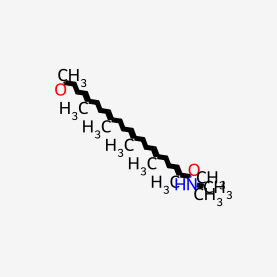 CC(=O)CC/C=C(\C)CC/C=C(\C)CC/C=C(\C)CC/C=C(\C)CC/C=C(\C)C(=O)NC(C)(C)C